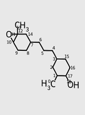 CC1CC(CCCC2CCC3OC3(C)C2)CCC1O